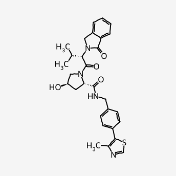 Cc1ncsc1-c1ccc(CNC(=O)[C@@H]2C[C@@H](O)CN2C(=O)[C@H](C(C)C)N2Cc3ccccc3C2=O)cc1